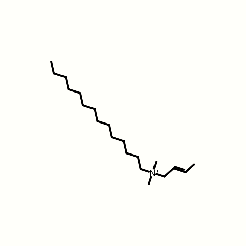 CC=CC[N+](C)(C)CCCCCCCCCCCCCC